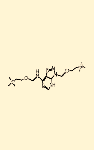 C[Si](C)(C)CCOCNC1=C2N=NN(COCC[Si](C)(C)C)C2NC=N1